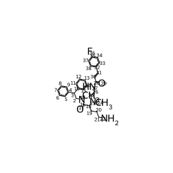 CN(CC(c1ccccc1)c1ccccc1)C(=O)[C@H](CCCN)N(C)CCNC(=O)/C=C/c1ccc(F)cc1